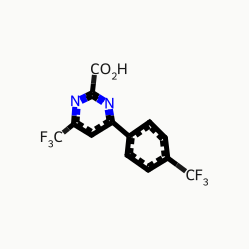 O=C(O)c1nc(-c2ccc(C(F)(F)F)cc2)cc(C(F)(F)F)n1